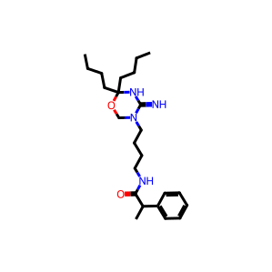 CCCCC1(CCCC)NC(=N)N(CCCCNC(=O)C(C)c2ccccc2)CO1